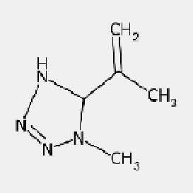 C=C(C)C1NN=NN1C